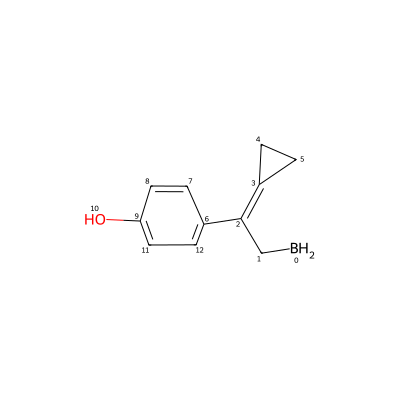 BCC(=C1CC1)c1ccc(O)cc1